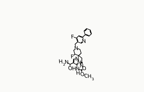 COC(=O)Nc1nn(C2(CC#N)CCN(Cc3cnc(-c4ccccc4)cc3F)CC2F)cc1C(N)O